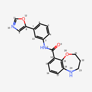 O=C(Nc1cccc(-c2cnco2)c1)c1cccc2c1OCCCN2